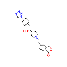 O=C1OCc2cc(CCN3CCC(C(O)Cc4ccc(-n5cnnn5)cc4)CC3)ccc21